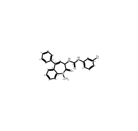 CN1C(=O)C(NC(=O)Nc2cccc(Cl)c2)C=C(c2ccccc2)c2ccccc21